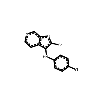 Clc1ccc(Nc2c(Br)oc3cnccc23)cc1